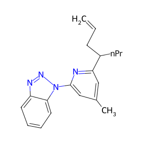 C=CCC(CCC)c1cc(C)cc(-n2nnc3ccccc32)n1